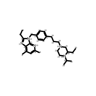 CCc1nc2c(C)cc(C)nc2n1Cc1ccc(CCCN2CCN(C(C)C)C(CC)C2)cc1